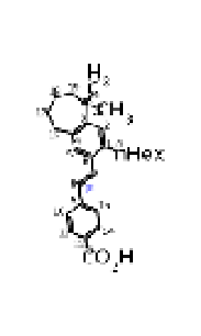 CCCCCCc1cc2c(cc1/C=C/c1ccc(C(=O)O)cc1)CCCCC2(C)C